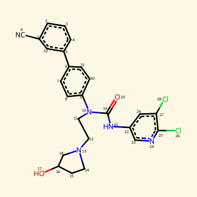 N#Cc1cccc(-c2ccc(N(CCN3CCC(O)C3)C(=O)Nc3cnc(Cl)c(Cl)c3)cc2)c1